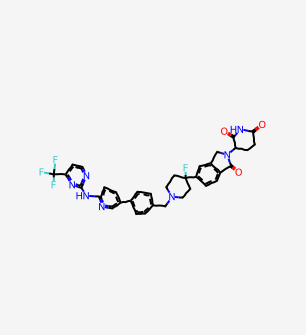 O=C1CCC(N2Cc3cc(C4(F)CCN(Cc5ccc(-c6ccc(Nc7nccc(C(F)(F)F)n7)nc6)cc5)CC4)ccc3C2=O)C(=O)N1